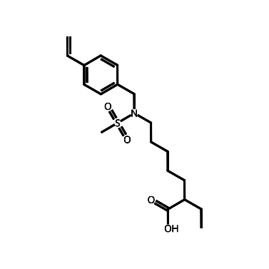 C=Cc1ccc(CN(CCCCCC(CC)C(=O)O)S(C)(=O)=O)cc1